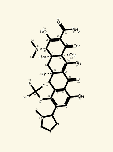 CN1CCCC1c1cc(O)c2c(c1OC(F)(F)F)C[C@H]1C[C@H]3[C@H](N(C)C)C(O)=C(C(N)=O)C(=O)[C@@]3(O)C(O)=C1C2=O